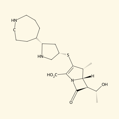 C[C@@H](O)[C@H]1C(=O)N2C(C(=O)O)=C(S[C@@H]3CN[C@H](C4CCCNCCC4)C3)[C@H](C)[C@H]12